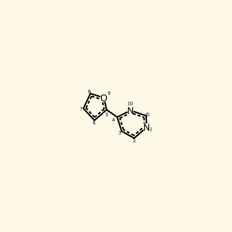 [c]1nccc(-c2ccco2)n1